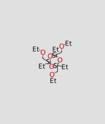 CCOC[Si]1(CC)O[Si](CC)(COCC)O[Si](CC)(COCC)O1